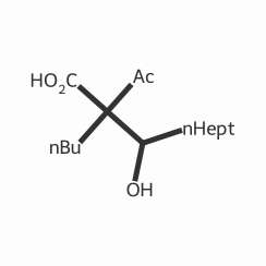 CCCCCCCC(O)C(CCCC)(C(C)=O)C(=O)O